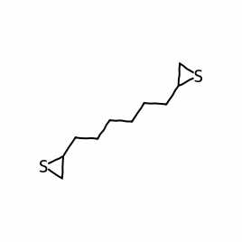 C(CCCC1CS1)CCC1CS1